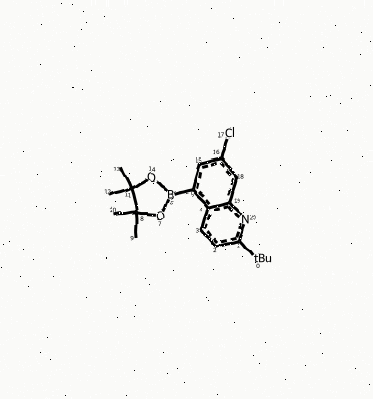 CC(C)(C)c1ccc2c(B3OC(C)(C)C(C)(C)O3)cc(Cl)cc2n1